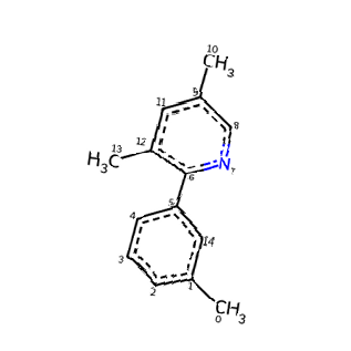 Cc1cccc(-c2ncc(C)cc2C)c1